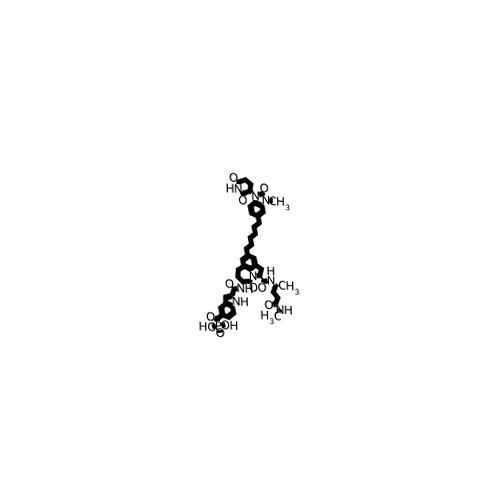 CNC(=O)CC[C@@H](C)NC(=O)[C@@H]1Cc2cc(CCCCCCc3ccc4c(c3)n(C)c(=O)n4C3CCC(=O)NC3=O)cc3c2N1C(=O)[C@@H](NC(=O)c1cc2cc(C(=O)P(=O)(O)O)ccc2[nH]1)CC3